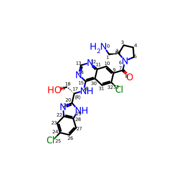 NC[C@H]1CCCN1C(=O)c1cc2ncnc(N[C@@H](CO)c3nc4cc(Cl)ccc4[nH]3)c2cc1Cl